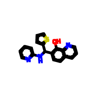 Oc1c(C(Nc2ccccn2)c2cccs2)ccc2cccnc12